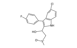 C[S+]([O-])CC(O)c1[nH]c2ccc(Cl)cc2c1-c1ccc(F)cc1